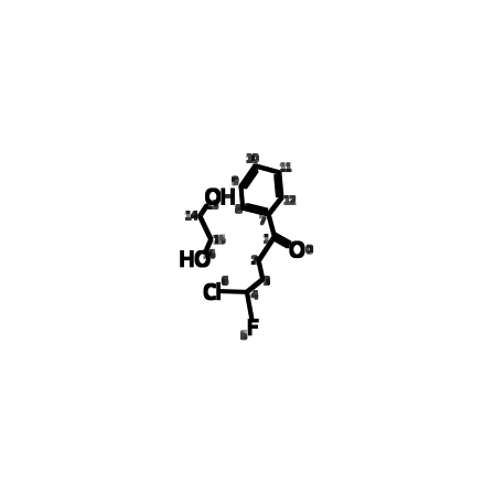 O=C(CCC(F)Cl)c1ccccc1.OCCO